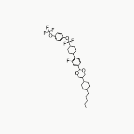 CCCCCC1CCC(C2COC(c3ccc(C4CCC(C(F)(F)Oc5ccc(OC(F)(F)F)cc5)CC4)c(F)c3)OC2)CC1